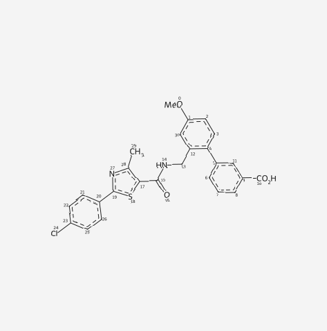 COc1ccc(-c2cccc(C(=O)O)c2)c(CNC(=O)c2sc(-c3ccc(Cl)cc3)nc2C)c1